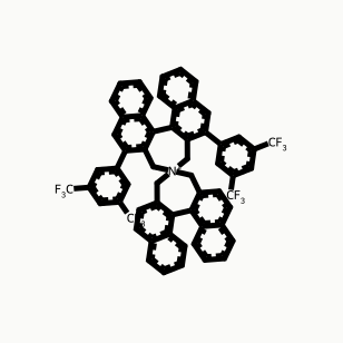 FC(F)(F)c1cc(-c2cc3ccccc3c3c2C[N+]2(Cc4ccc5ccccc5c4-c4c(ccc5ccccc45)C2)Cc2c(-c4cc(C(F)(F)F)cc(C(F)(F)F)c4)cc4ccccc4c2-3)cc(C(F)(F)F)c1